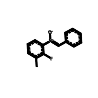 Cc1cccc([N+]([O-])=Cc2ccccc2)c1F